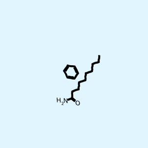 CCCCCCCCCC(N)=O.c1ccccc1